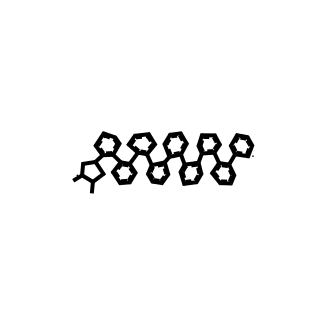 C[C]1CC(c2ccccc2-c2ccccc2-c2ccccc2-c2ccccc2-c2ccccc2-c2ccccc2-c2ccccc2-c2ccccc2-c2[c]cccc2)CC1C